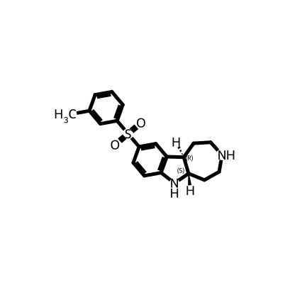 Cc1cccc(S(=O)(=O)c2ccc3c(c2)[C@H]2CCNCC[C@@H]2N3)c1